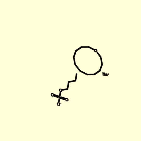 C1CCCCCOCCCCC1.CCCCOS(=O)(=O)[O-].[Na+]